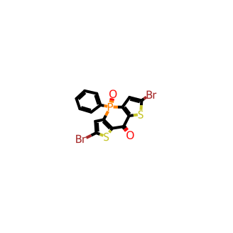 O=C1c2sc(Br)cc2P(=O)(c2ccccc2)c2cc(Br)sc21